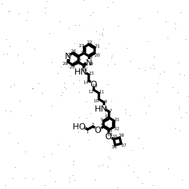 OCCOc1cc(CNCCCCOCCNc2nc3ccccc3c3cnccc23)ccc1OC1CCC1